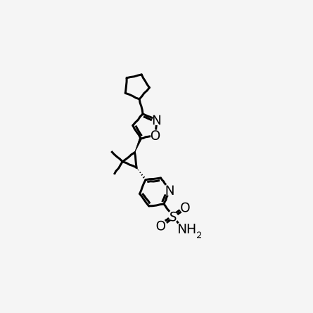 CC1(C)[C@@H](c2ccc(S(N)(=O)=O)nc2)[C@@H]1c1cc(C2CCCC2)no1